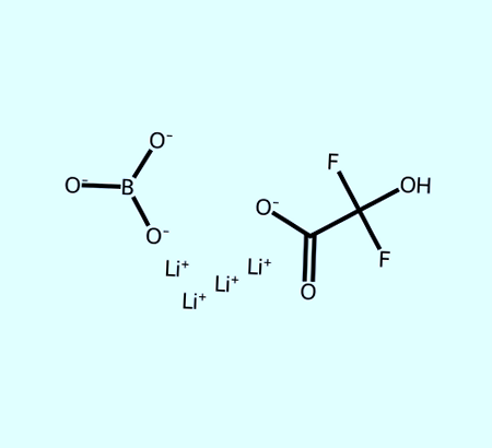 O=C([O-])C(O)(F)F.[Li+].[Li+].[Li+].[Li+].[O-]B([O-])[O-]